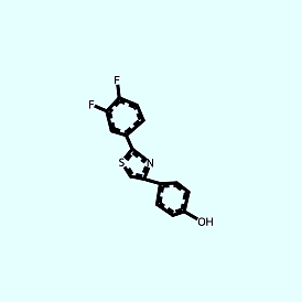 Oc1ccc(-c2csc(-c3ccc(F)c(F)c3)n2)cc1